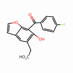 O=C(O)Cc1cc2ccoc2c(C(=O)c2ccc(F)cc2)c1O